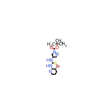 CC(C)(C)OC(=O)n1cc(NC(=S)Nc2ncccc2Br)cn1